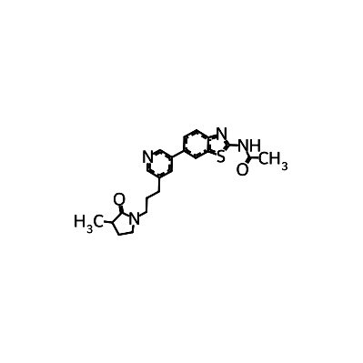 CC(=O)Nc1nc2ccc(-c3cncc(CCCN4CCC(C)C4=O)c3)cc2s1